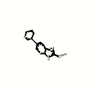 COc1nc2cc(-c3cccnc3)cnc2[nH]1